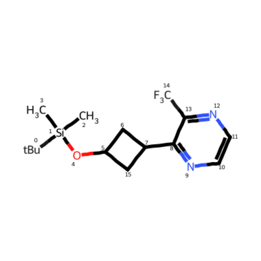 CC(C)(C)[Si](C)(C)OC1CC(c2nccnc2C(F)(F)F)C1